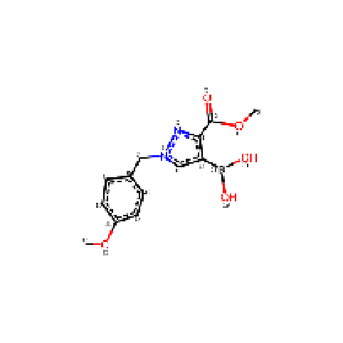 COC(=O)c1nn(Cc2ccc(OC)cc2)cc1B(O)O